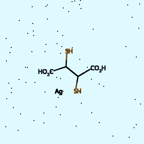 O=C(O)C(S)C(S)C(=O)O.[Ag]